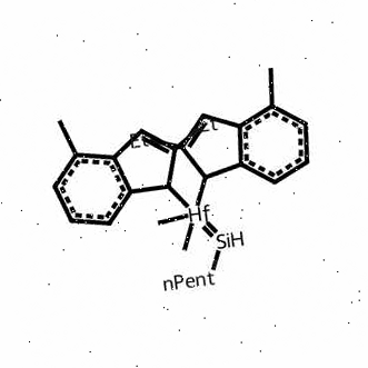 CCCCC[SiH]=[Hf]([CH3])([CH3])([CH]1C(CC)=Cc2c(C)cccc21)[CH]1C(CC)=Cc2c(C)cccc21